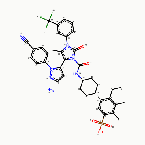 CCc1c(C)c(C)c(S(=O)(=O)O)cc1[C@H]1CC[C@H](NC(=O)n2c(-c3ccnn3-c3ccc(C#N)cc3)c(C)n(-c3cccc(C(F)(F)F)c3)c2=O)CC1.N